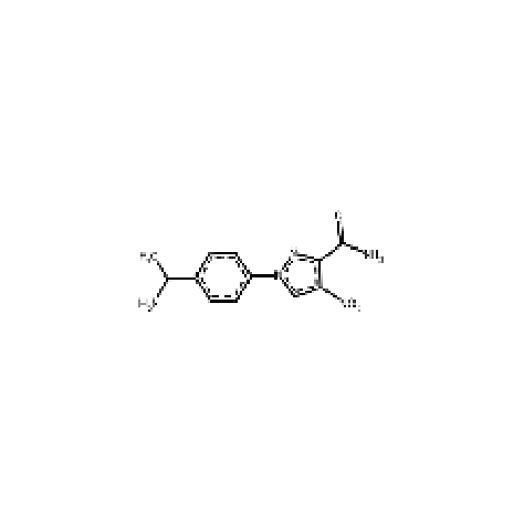 NC(=O)c1nn(-c2ccc(C(N)C(F)(F)F)cc2)cc1[N+](=O)[O-]